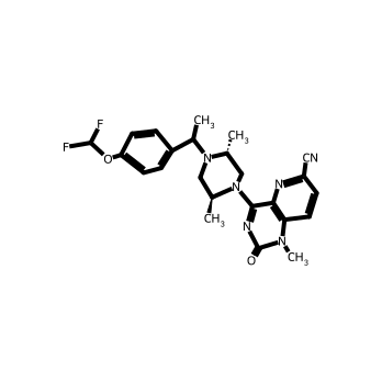 CC(c1ccc(OC(F)F)cc1)N1C[C@H](C)N(c2nc(=O)n(C)c3ccc(C#N)nc23)C[C@H]1C